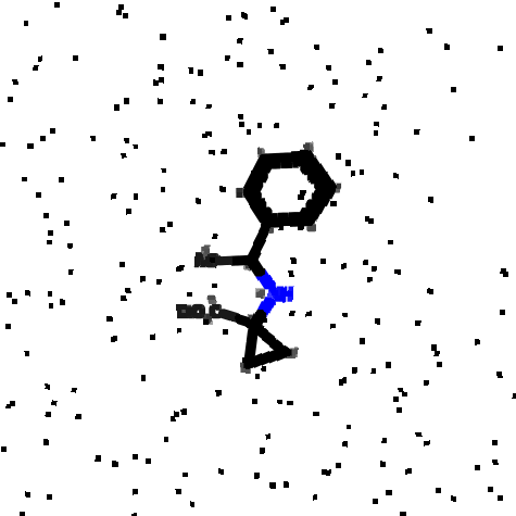 CCOC(=O)C1(NC(C#N)c2ccccc2)CC1